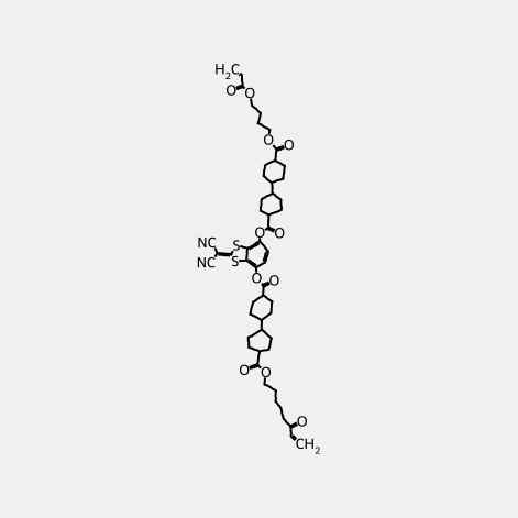 C=CC(=O)CCCCCOC(=O)C1CCC(C2CCC(C(=O)Oc3ccc(OC(=O)C4CCC(C5CCC(C(=O)OCCCCOC(=O)C=C)CC5)CC4)c4c3SC(=C(C#N)C#N)S4)CC2)CC1